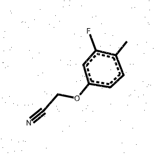 Cc1ccc(OCC#N)cc1F